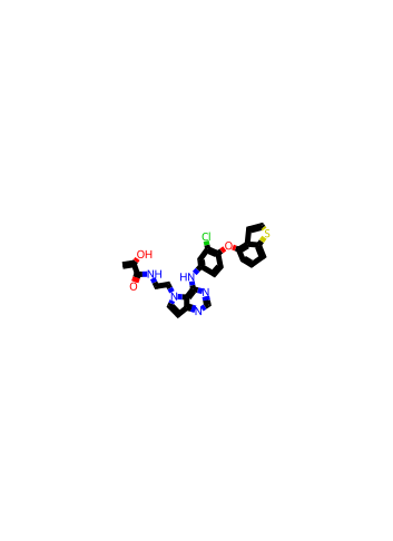 C=C(O)C(=O)NCCn1ccc2ncnc(Nc3ccc(Oc4cccc5sccc45)c(Cl)c3)c21